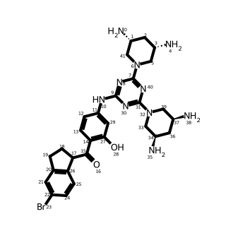 N[C@@H]1C[C@H](N)CN(c2nc(Nc3ccc(C(=O)C4CCc5cc(Br)ccc54)c(O)c3)nc(N3C[C@H](N)C[C@H](N)C3)n2)C1